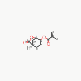 C=C(C)C(=O)OC1CC[C@@H]2CC1OC2=O